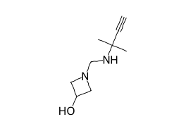 C#CC(C)(C)NCN1CC(O)C1